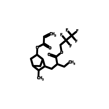 C=CC(=O)OC1CC2CC1C(CC(CC)C(=O)OCC(F)(F)C(F)(F)F)C2C